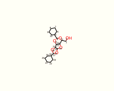 OCC1OC(C2CCCCC2)OC2C1OC1OC(C3CCCCC3)OC12